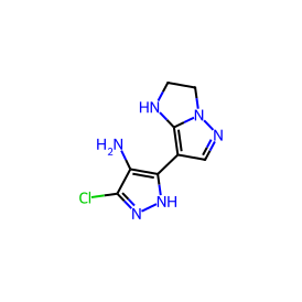 Nc1c(Cl)n[nH]c1-c1cnn2c1NCC2